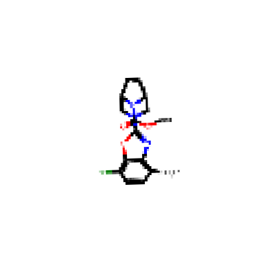 CCOC(=O)c1ccc(Br)c2oc(N3CC4CCC(C3)N4C(=O)OC(C)(C)C)nc12